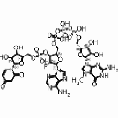 C[n+]1cn([C@@H]2O[C@H](COP(=O)(O)OP(=O)(O)OP(=O)(O)OC[C@H]3O[C@@H](n4cnc5c(N)ncnc54)[C@@H](F)C3OP(=O)(O)OC[C@H]3O[C@@H](N4C=CC(=O)CC4=O)[C@@H](O)C3O)[C@H](O)C2O)c2nc(N)[nH]c(=O)c21